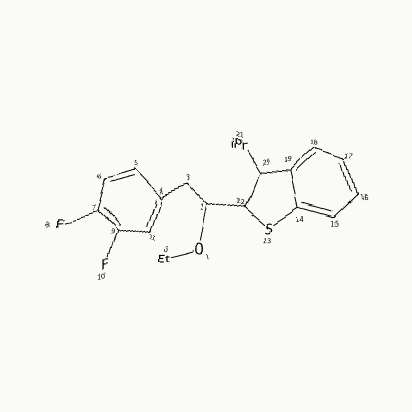 CCOC(Cc1ccc(F)c(F)c1)C1Sc2ccccc2C1C(C)C